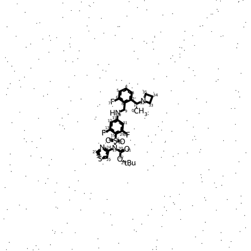 C[C@H](c1cccc(F)c1CNc1cc(F)c(S(=O)(=O)N(C(=O)OC(C)(C)C)c2cscn2)c(F)c1)N1CCC1